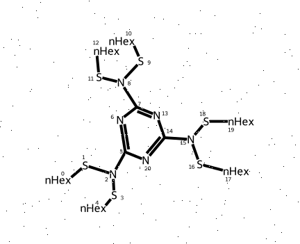 CCCCCCSN(SCCCCCC)c1nc(N(SCCCCCC)SCCCCCC)nc(N(SCCCCCC)SCCCCCC)n1